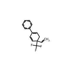 C=CC1(C(F)(F)F)C=CC(c2ccccc2)=CC1